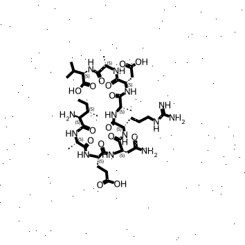 CC[C@H](C)[C@H](N)C(=O)N[C@@H](C)C(=O)N[C@@H](CCC(=O)O)C(=O)N[C@@H](CC(N)=O)C(=O)N[C@@H](CCCNC(=N)N)C(=O)N[C@@H](C)C(=O)N[C@@H](CC(=O)O)C(=O)N[C@@H](C)C(=O)N[C@H](C(=O)O)C(C)C